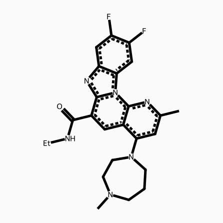 CCNC(=O)c1cc2c(N3CCCN(C)CC3)cc(C)nc2n2c1nc1cc(F)c(F)cc12